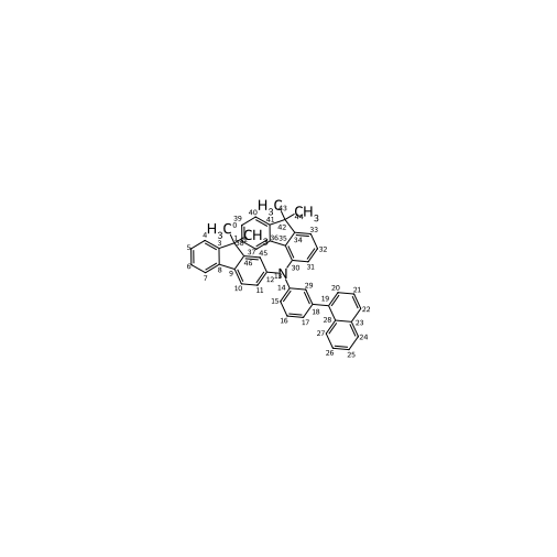 CC1(C)c2ccccc2-c2ccc(N(c3cccc(-c4cccc5ccccc45)c3)c3cccc4c3-c3ccccc3C4(C)C)cc21